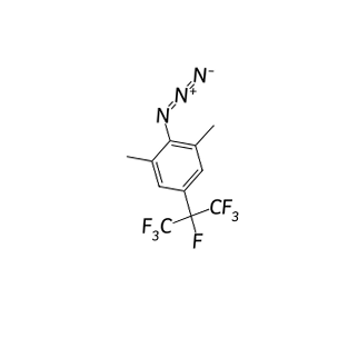 Cc1cc(C(F)(C(F)(F)F)C(F)(F)F)cc(C)c1N=[N+]=[N-]